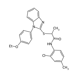 CCOc1ccc(-n2c(SC(C)C(=O)Nc3ccc(C)cc3Cl)nc3ccccc32)cc1